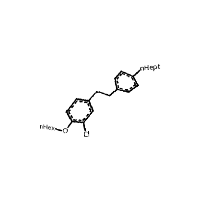 CCCCCCCc1ccc(CCc2ccc(OCCCCCC)c(Cl)c2)cc1